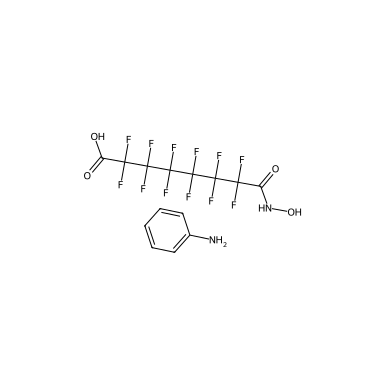 Nc1ccccc1.O=C(O)C(F)(F)C(F)(F)C(F)(F)C(F)(F)C(F)(F)C(F)(F)C(=O)NO